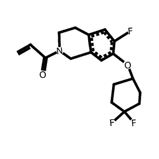 C=CC(=O)N1CCc2cc(F)c(OC3CCC(F)(F)CC3)cc2C1